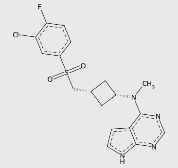 CN(c1ncnc2[nH]ccc12)[C@H]1C[C@@H](CS(=O)(=O)c2ccc(F)c(Cl)c2)C1